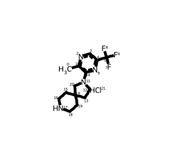 Cc1ncc(C(F)(F)F)nc1N1CCC2(CCNCC2)C1.Cl